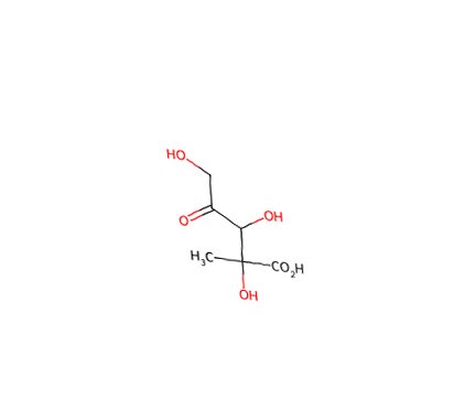 CC(O)(C(=O)O)C(O)C(=O)CO